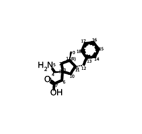 C[C@@H]1C[C@@](CN)(CC(=O)O)C[C@H]1Cc1ccccc1